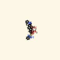 Cc1ccccc1-n1ncc2c1C=C1CCC3C([C@@H](O)CC4(C)C3CC[C@]4(O)C(=O)CSc3nc4ccccc4[nH]3)C1(C)C2